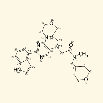 CN(CC1CCOCC1)C(=O)CN1CC2COCCN2c2nc(-c3cccc4[nH]ccc34)ncc21